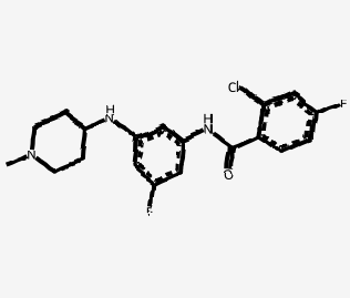 CN1CCC(Nc2cc(F)cc(NC(=O)c3ccc(F)cc3Cl)c2)CC1